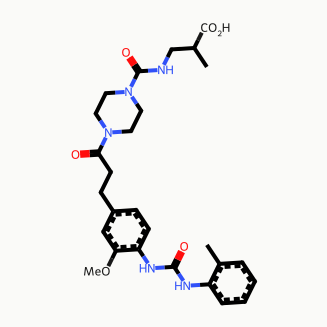 COc1cc(CCC(=O)N2CCN(C(=O)NCC(C)C(=O)O)CC2)ccc1NC(=O)Nc1ccccc1C